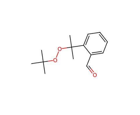 CC(C)(C)OOC(C)(C)c1ccccc1C=O